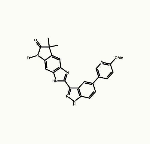 CCN1C(=O)C(C)(C)c2cc3nc(-c4n[nH]c5ccc(-c6ccc(OC)nc6)cc45)[nH]c3cc21